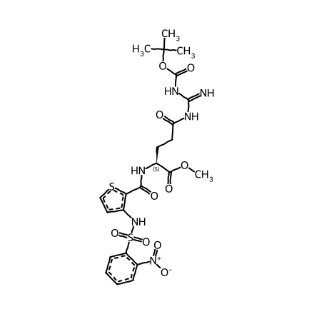 COC(=O)[C@H](CCC(=O)NC(=N)NC(=O)OC(C)(C)C)NC(=O)c1sccc1NS(=O)(=O)c1ccccc1[N+](=O)[O-]